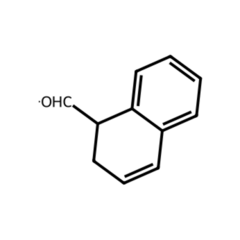 O=[C]C1CC=Cc2ccccc21